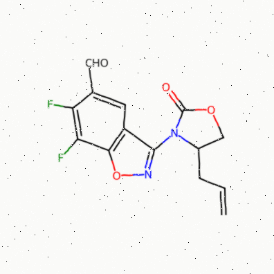 C=CCC1COC(=O)N1c1noc2c(F)c(F)c(C=O)cc12